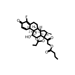 CCCC(=O)OCC(=O)[C@]1(OC(=O)CC)[C@H](C)C[C@H]2[C@@H]3CCC4=C(F)C(=O)C=C[C@]4(C)[C@@]3(F)[C@@H](O)C[C@@]21C